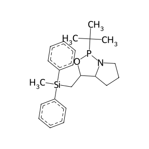 CC(C)(C)P1OC(C[Si](C)(c2ccccc2)c2ccccc2)C2CCCN21